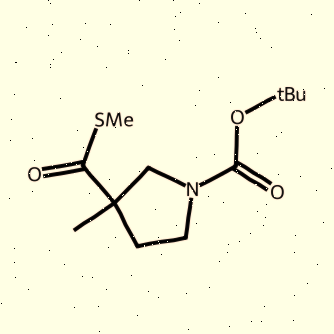 CSC(=O)C1(C)CCN(C(=O)OC(C)(C)C)C1